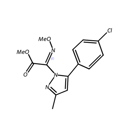 CO/N=C(\C(=O)OC)n1nc(C)cc1-c1ccc(Cl)cc1